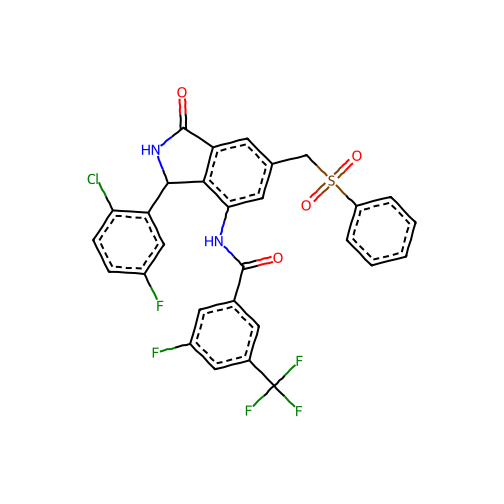 O=C(Nc1cc(CS(=O)(=O)c2ccccc2)cc2c1C(c1cc(F)ccc1Cl)NC2=O)c1cc(F)cc(C(F)(F)F)c1